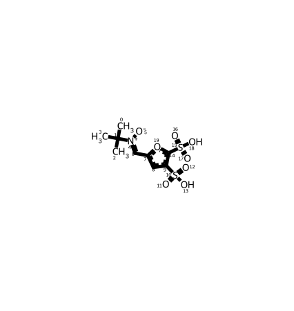 CC(C)(C)[N+]([O-])=Cc1cc(S(=O)(=O)O)c(S(=O)(=O)O)o1